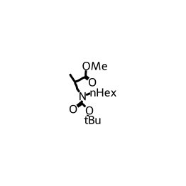 CCCCCCN(CC(C)C(=O)OC)C(=O)OC(C)(C)C